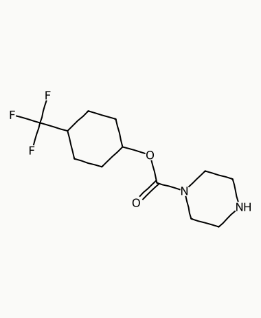 O=C(OC1CCC(C(F)(F)F)CC1)N1CCNCC1